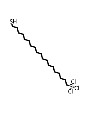 SCCCCCCCCCCCCCCCCCCC[Si](Cl)(Cl)Cl